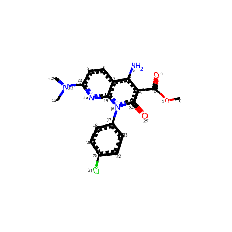 COC(=O)c1c(N)c2ccc(N(C)C)nc2n(-c2ccc(Cl)cc2)c1=O